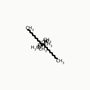 CCCCCCCCCCCCC(CCCCCCCCCCCC)(C[N+](C)(C)C)OP(C)(C)=O